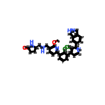 COc1nc(-c2cccc(-c3ccnc(-c4ccc5c(c4)CNC5)c3Cl)c2Cl)ccc1CNC[C@H]1CCC(=O)N1